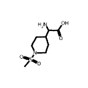 CS(=O)(=O)N1CCC(C(N)C(=O)O)CC1